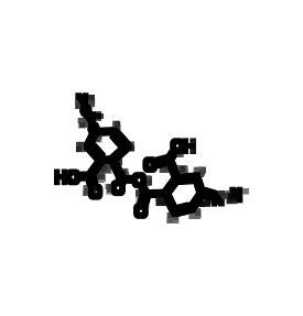 [N-]=[N+]=C1C=CC(C(=O)OC(=O)C2C=CC(=[N+]=[N-])C=C2C(=O)O)C(C(=O)O)=C1